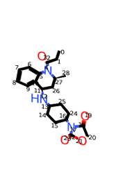 CCC(=O)N1c2ccccc2[C@H](NC2CCC(N3C(=O)COC3=O)CC2)C[C@@H]1C